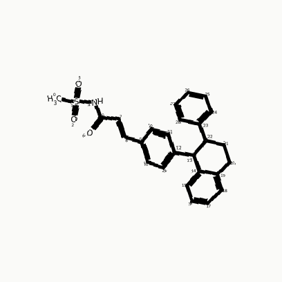 CS(=O)(=O)NC(=O)C=Cc1ccc(C2c3ccccc3CCC2c2ccccc2)cc1